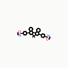 CC1(C)c2cc(-c3ccc(-c4ncco4)cc3)c3ccccc3c2-c2c1cc(-c1ccc(-c3ncco3)cc1)c1ccccc21